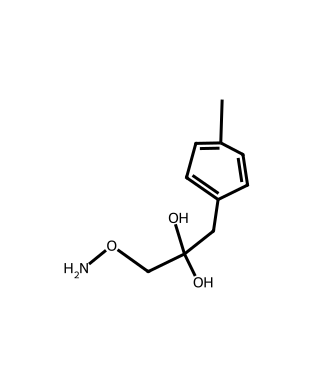 Cc1ccc(CC(O)(O)CON)cc1